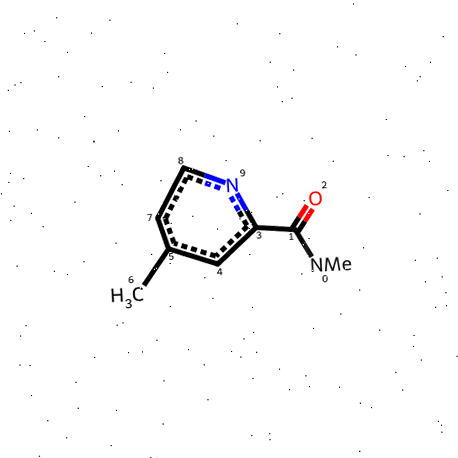 CNC(=O)c1cc(C)[c]cn1